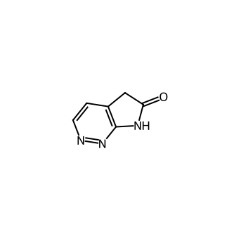 O=C1Cc2ccnnc2N1